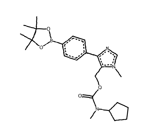 CN(C(=O)OCc1c(-c2ccc(B3OC(C)(C)C(C)(C)O3)cc2)ncn1C)C1CCCC1